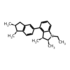 CCN1c2cccc(-c3ccc4c(c3)C[C@H](C)[C@@H]4C)c2[C@H](C)[C@@H]1C